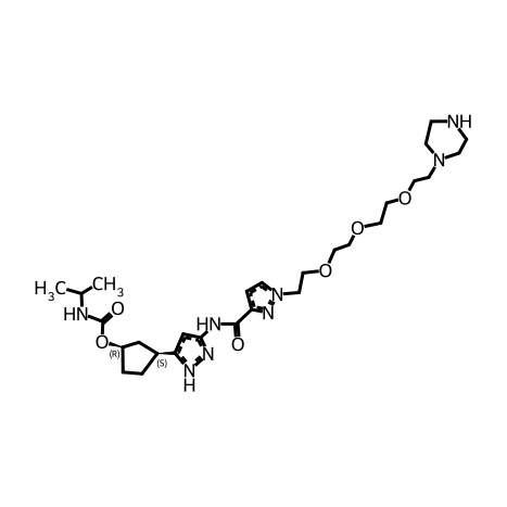 CC(C)NC(=O)O[C@@H]1CC[C@H](c2cc(NC(=O)c3ccn(CCOCCOCCOCCN4CCNCC4)n3)n[nH]2)C1